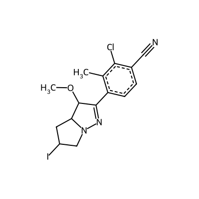 COC1C(c2ccc(C#N)c(Cl)c2C)=NN2CC(I)CC12